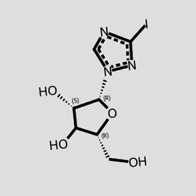 OC[C@H]1O[C@@H](n2cnc(I)n2)[C@@H](O)C1O